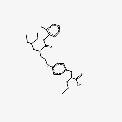 CCOC(Cc1ccc(OCCN(CC(CC)CC)C(=O)Oc2ccccc2F)cc1)C(=O)O